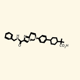 CC(C)(C(=O)O)C1CCC(c2ccc(N3C=CC4=NC(C(=O)NCc5ccccc5)=C[N+]4C3)cc2)CC1